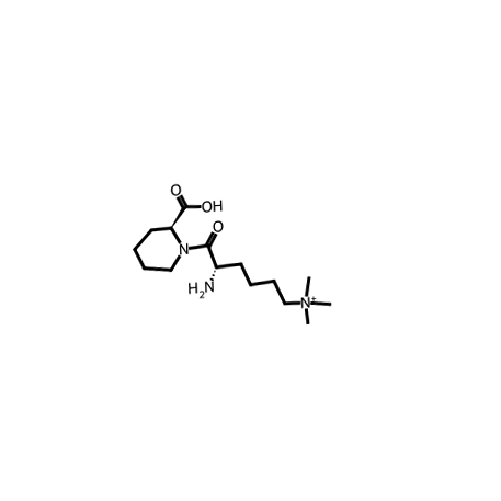 C[N+](C)(C)CCCC[C@H](N)C(=O)N1CCCC[C@H]1C(=O)O